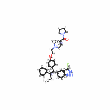 O=C(O)N(C/C=C/C(=O)N1CCCC1)CCOc1ccc(/C(=C(/CC(F)(F)F)c2ccccc2)c2ccc3[nH]nc(F)c3c2)cc1